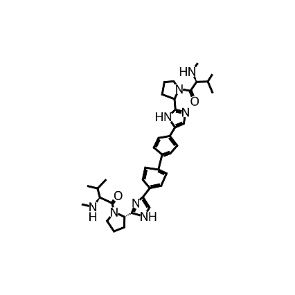 CN[C@H](C(=O)N1CCCC1c1ncc(-c2ccc(-c3ccc(-c4c[nH]c([C@@H]5CCCN5C(=O)[C@@H](NC)C(C)C)n4)cc3)cc2)[nH]1)C(C)C